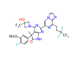 COc1cc(C2(C)C(=O)Nc3nc(-c4cn5ccnc5c(CCC(F)(F)C(F)(F)F)n4)nc(N4CC(O)(C(F)(F)F)C4)c32)ccc1F